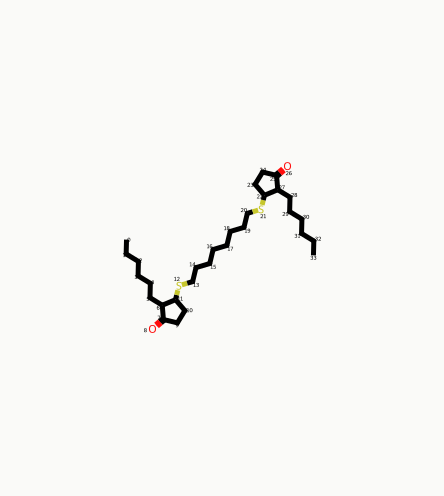 CCCCCCC1C(=O)CCC1SCCCCCCCCSC1CCC(=O)C1CCCCCC